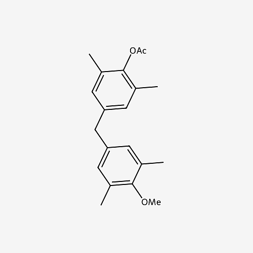 COc1c(C)cc(Cc2cc(C)c(OC(C)=O)c(C)c2)cc1C